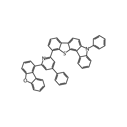 c1ccc(-c2cc(-c3cccc4c3sc3c4ccc4c3c3ccccc3n4-c3ccccc3)nc(-c3cccc4oc5ccccc5c34)c2)cc1